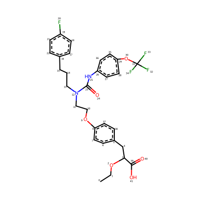 CCOC(Cc1ccc(OCCN(CCCc2ccc(F)cc2)C(=O)Nc2ccc(OC(F)(F)F)cc2)cc1)C(=O)O